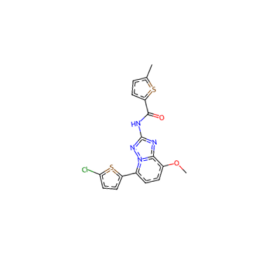 COc1ccc(-c2ccc(Cl)s2)n2nc(NC(=O)c3ccc(C)s3)nc12